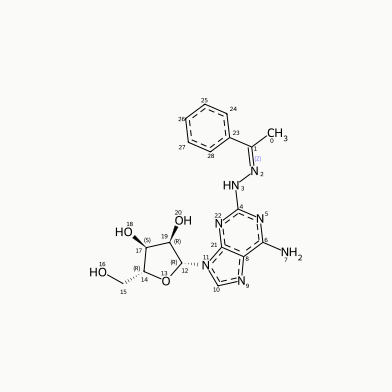 C/C(=N/Nc1nc(N)c2ncn([C@@H]3O[C@H](CO)[C@@H](O)[C@H]3O)c2n1)c1ccccc1